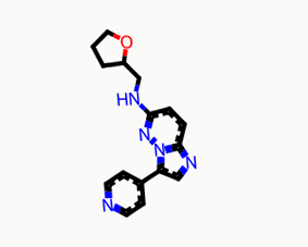 c1cc(-c2cnc3ccc(NCC4CCCO4)nn23)ccn1